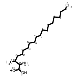 CCCCCCCCCCCCCCCCCC(C)C(N)C(O)O